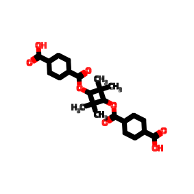 CC1(C)C(OC(=O)C2CCC(C(=O)O)CC2)C(C)(C)C1OC(=O)C1CCC(C(=O)O)CC1